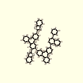 c1ccc(-c2ccc(-c3ccc4c5ccccc5c5ccc(-c6cc7c8ccc(-c9nc%10ccccc%10o9)cc8c8ccccc8c7cc6-c6nc7ccccc7o6)cc5c4c3)c3ncccc23)cc1